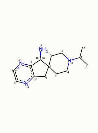 CC(C)N1CCC2(CC1)Cc1nccnc1[C@H]2N